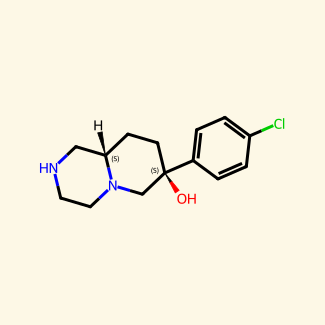 O[C@]1(c2ccc(Cl)cc2)CC[C@H]2CNCCN2C1